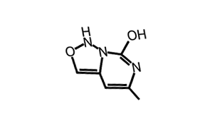 CC1=CC2=CONN2C(O)=N1